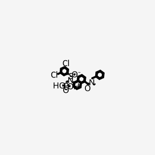 CN(Cc1ccccc1)C(=O)c1cccc2c(N(CP(=O)(O)O)[S+]([O-])c3cc(Cl)cc(Cl)c3)cccc12